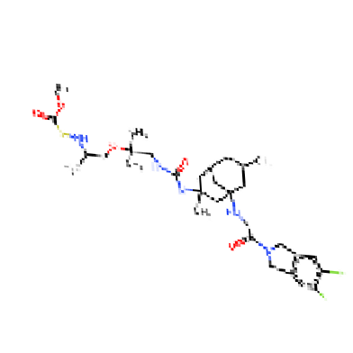 CC1CC2CC(C)(NC(=O)NCC(C)(C)OCC(C)NSC(=O)OC(C)(C)C)CC(NCC(=O)N3Cc4cc(F)c(F)cc4C3)(C1)C2